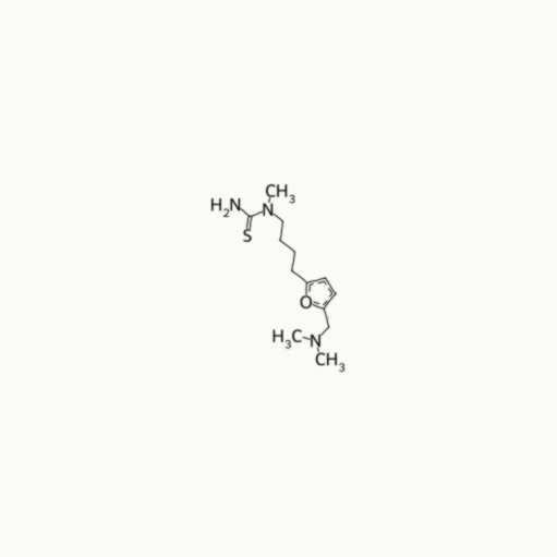 CN(C)Cc1ccc(CCCCN(C)C(N)=S)o1